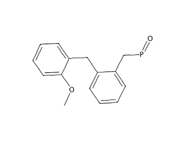 COc1ccccc1Cc1ccccc1CP=O